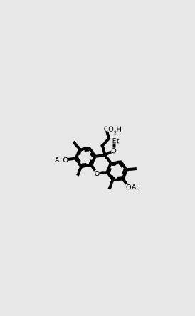 CCOC1(CCC(=O)O)c2cc(C)c(OC(C)=O)c(C)c2Oc2c1cc(C)c(OC(C)=O)c2C